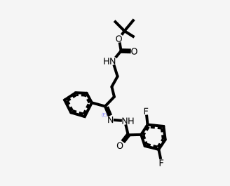 CC(C)(C)OC(=O)NCCC/C(=N\NC(=O)c1cc(F)ccc1F)c1ccccc1